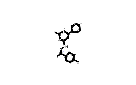 C/C(=N/Nc1cc(-c2cccnc2)nc(C)n1)c1ccc(C)cc1